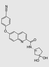 N#Cc1ccc(Oc2ccc3nc(C(=O)N[C@@H]4CCS(O)(O)C4)ccc3c2)cc1